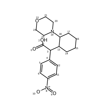 O=C(O)C(c1ccc([N+](=O)[O-])cc1)C1CCCCC1N1CCOCC1